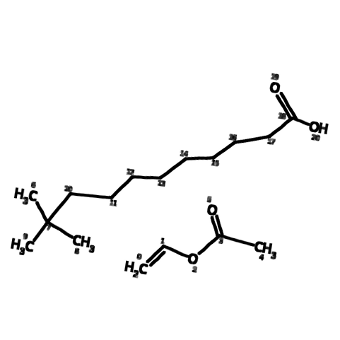 C=COC(C)=O.CC(C)(C)CCCCCCCCC(=O)O